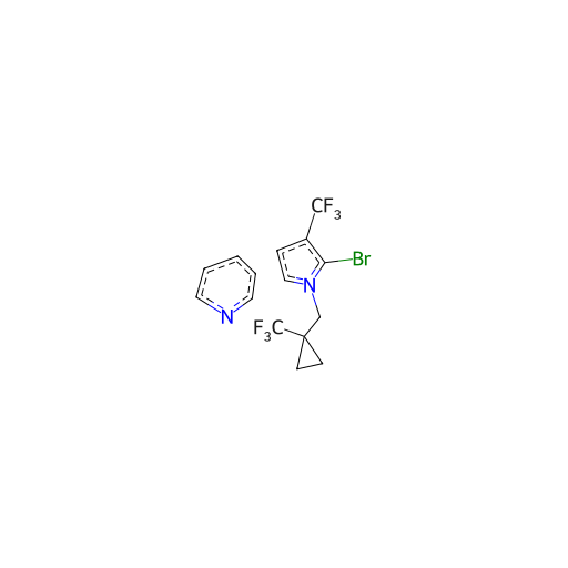 FC(F)(F)c1ccn(CC2(C(F)(F)F)CC2)c1Br.c1ccncc1